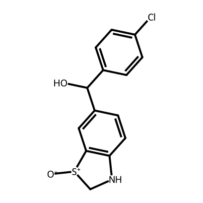 [O-][S+]1CNc2ccc(C(O)c3ccc(Cl)cc3)cc21